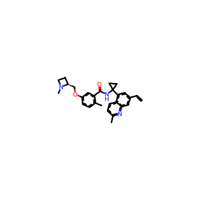 C=Cc1cc(C2(NC(=O)c3cc(OC[C@@H]4CCN4C)ccc3C)CC2)c2ccc(C)nc2c1